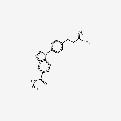 C=C(C)CCc1ccc(-n2cnc3cc(C(=O)NC)ccc32)cc1